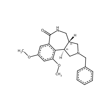 COc1cc(OC)c2c(c1)C(=O)NC[C@@H]1CN(Cc3ccccc3)C[C@@H]21